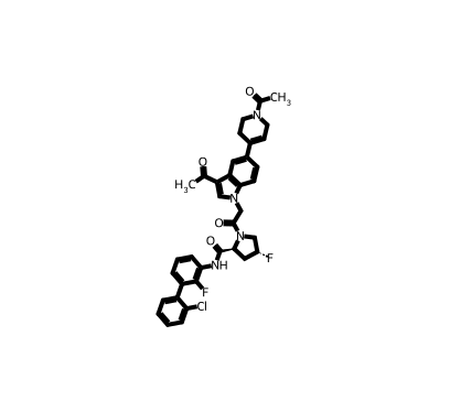 CC(=O)c1cn(CC(=O)N2C[C@H](F)C[C@H]2C(=O)Nc2cccc(-c3ccccc3Cl)c2F)c2ccc(C3=CCN(C(C)=O)CC3)cc12